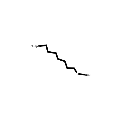 [CH2]CCCCCCCCCCCCCOCCCC